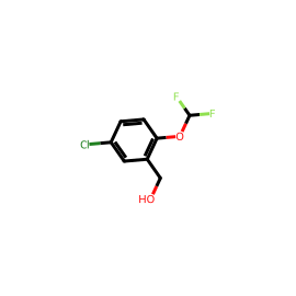 OCc1cc(Cl)ccc1OC(F)F